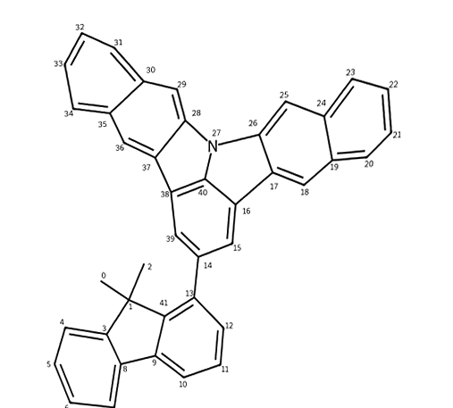 CC1(C)c2ccccc2-c2cccc(-c3cc4c5cc6ccccc6cc5n5c6cc7ccccc7cc6c(c3)c45)c21